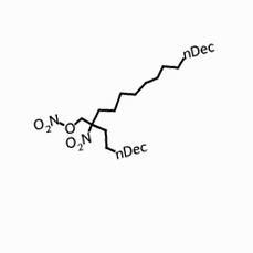 CCCCCCCCCCCCCCCCCCC(CCCCCCCCCCCC)(CO[N+](=O)[O-])[N+](=O)[O-]